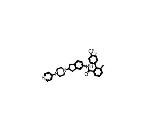 Cc1cccc(C(=O)Nc2ccc3c(c2)CC(N2CCN(c4ccncc4)CC2)C3)c1-c1ccc(C(F)(F)F)cc1